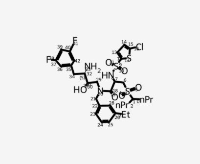 CCCC(CCC)S(=O)(=O)CC(NS(=O)(=O)c1ccc(Cl)s1)C(=O)N(Cc1cccc(CC)c1)C[C@@H](O)[C@@H](N)Cc1cc(F)cc(F)c1